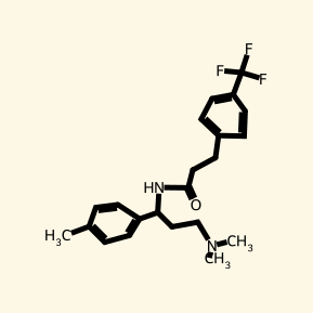 Cc1ccc(C(CCN(C)C)NC(=O)CCc2ccc(C(F)(F)F)cc2)cc1